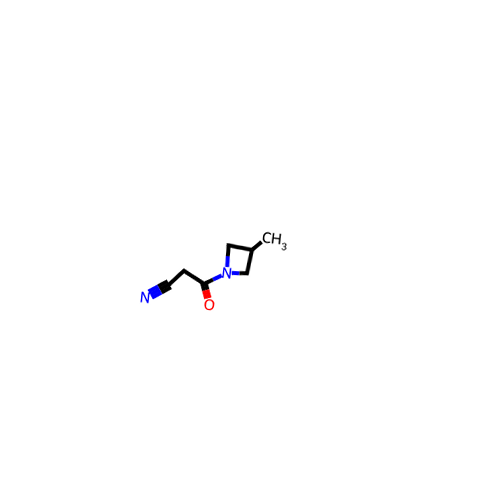 CC1CN(C(=O)CC#N)C1